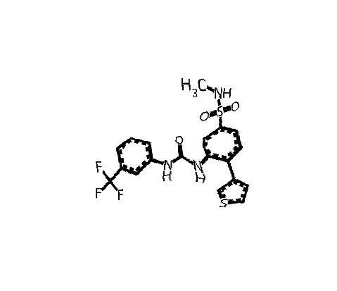 CNS(=O)(=O)c1ccc(-c2ccsc2)c(NC(=O)Nc2cccc(C(F)(F)F)c2)c1